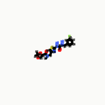 CN(Cc1csc(NC(=O)NCc2cccc(F)c2)n1)C(=O)C1COC(C)(C)O1